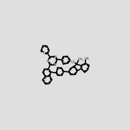 CC1(C)c2cc(-c3ccc(-c4c(-c5nc(-c6ccccc6)nc(-c6ccccc6)n5)ccc5ccccc45)cc3)ccc2-c2cccc(C#N)c21